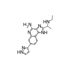 CCNC(C)c1nc2c(N)nc3cc(-c4cc[nH]n4)ccc3c2[nH]1